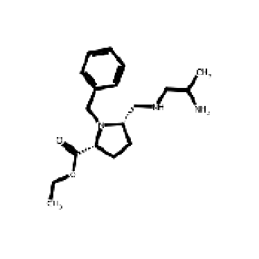 CCOC(=O)[C@H]1CC[C@@H](CNCC(C)N)N1Cc1ccccc1